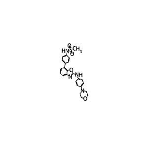 CS(=O)(=O)Nc1ccc(-c2cccc3nc(Nc4ccc(N5CCOCC5)cc4)oc23)cc1